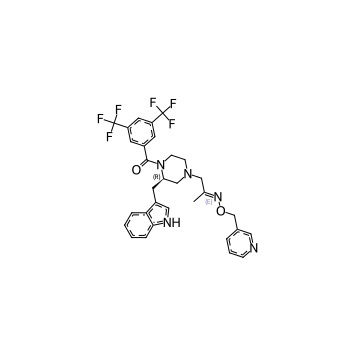 C/C(CN1CCN(C(=O)c2cc(C(F)(F)F)cc(C(F)(F)F)c2)[C@H](Cc2c[nH]c3ccccc23)C1)=N\OCc1cccnc1